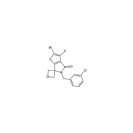 O=C1c2c(sc(Br)c2F)C2(COC2)N1Cc1cccc(Cl)c1